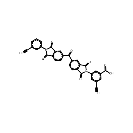 C#Cc1cccc(N2C(=O)c3ccc(C(=O)c4ccc5c(c4)C(=O)N(c4cc(C#C)cc(C(=O)O)c4)C5=O)cc3C2=O)c1